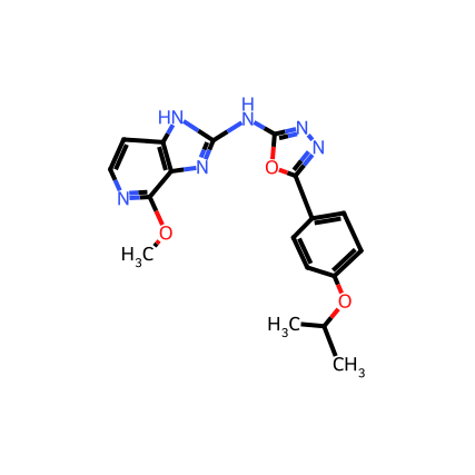 COc1nccc2[nH]c(Nc3nnc(-c4ccc(OC(C)C)cc4)o3)nc12